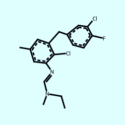 CCN(C)C=Nc1cc(C)cc(Cc2ccc(F)c(Cl)c2)c1Cl